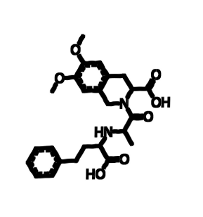 COc1cc2c(cc1OC)CN(C(=O)C(C)NC(CCc1ccccc1)C(=O)O)C(C(=O)O)C2